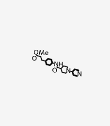 COC(=O)CCc1ccc(NC(=O)C2CCN(c3ccncc3)CC2)cc1